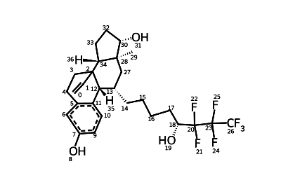 C=CC12CCc3cc(O)ccc3[C@H]1[C@@H](CCCC[C@@H](O)C(F)(F)C(F)(F)C(F)(F)F)C[C@]1(C)[C@@H](O)CC[C@@H]21